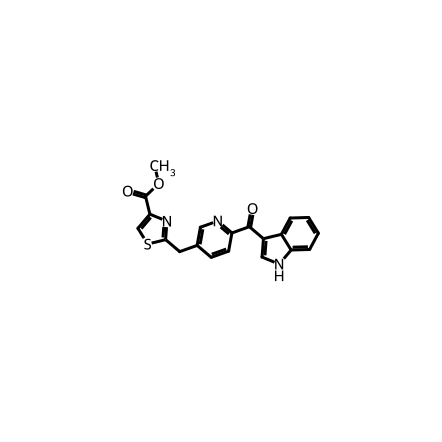 COC(=O)c1csc(Cc2ccc(C(=O)c3c[nH]c4ccccc34)nc2)n1